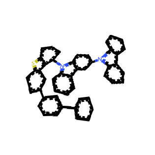 c1ccc(-c2cccc(-c3ccc4sc5cccc(-n6c7ccccc7c7cc(-n8c9ccccc9c9ccccc98)ccc76)c5c4c3)c2)cc1